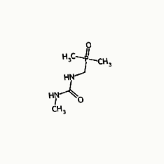 CNC(=O)NCP(C)(C)=O